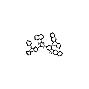 c1ccc(-n2c3ccccc3c3ccc(-c4nc(-c5cc(-n6c7ccccc7c7cc8ccccc8cc76)c6c(c5)oc5cc7ccccc7cc56)nc(-c5cccc6ccccc56)n4)cc32)cc1